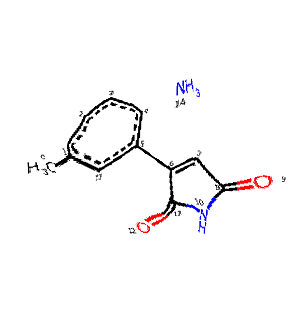 Cc1cccc(C2=CC(=O)NC2=O)c1.N